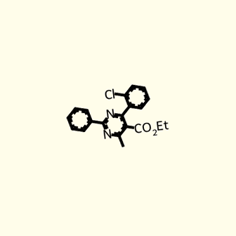 CCOC(=O)c1c(C)nc(-c2ccccc2)nc1-c1ccccc1Cl